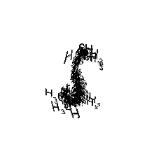 Cc1ncsc1-c1ccc([C@H](C)NC(=O)[C@@H]2CCCN2C(=O)[C@@H](C(C)C)N2Cc3ccc(N4CCN(CCCc5ccc(C(=O)NC6C(C)(C)CC6(C)C)cc5)CC4)cc3C2=O)cc1